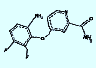 NC(=O)c1cc(Oc2c(N)ccc(F)c2F)ccn1